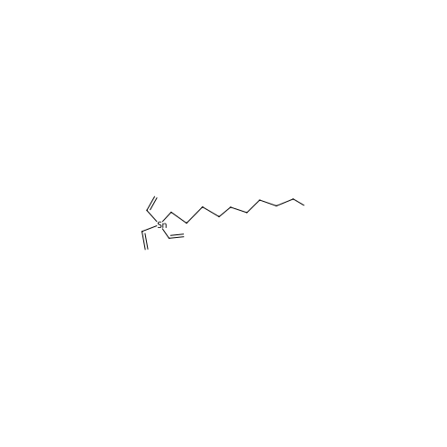 C=[CH][Sn]([CH]=C)([CH]=C)[CH2]CCCCCCCCC